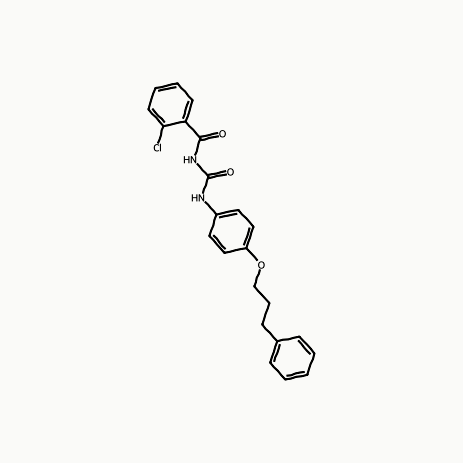 O=C(NC(=O)c1ccccc1Cl)Nc1ccc(OCCCc2ccccc2)cc1